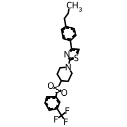 CCCc1ccc(-c2csc(N3CCC(S(=O)(=O)c4cccc(C(F)(F)F)c4)CC3)n2)cc1